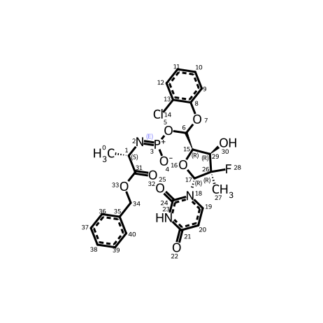 C[C@H](/N=[P+](\[O-])OC(Oc1ccccc1Cl)[C@@H]1O[C@@H](n2ccc(=O)[nH]c2=O)[C@](C)(F)[C@@H]1O)C(=O)OCc1ccccc1